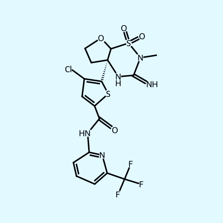 CN1C(=N)N[C@@]2(c3sc(C(=O)Nc4cccc(C(F)(F)F)n4)cc3Cl)CCOC2S1(=O)=O